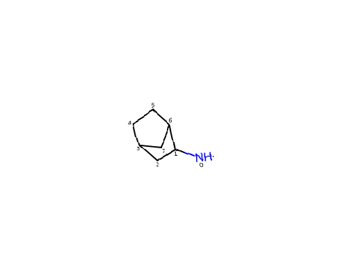 [NH]C1CC2CCC1C2